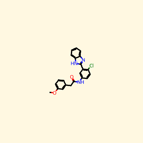 COc1cccc(CC(=O)Nc2ccc(Cl)c(-c3nc4ccccc4[nH]3)c2)c1